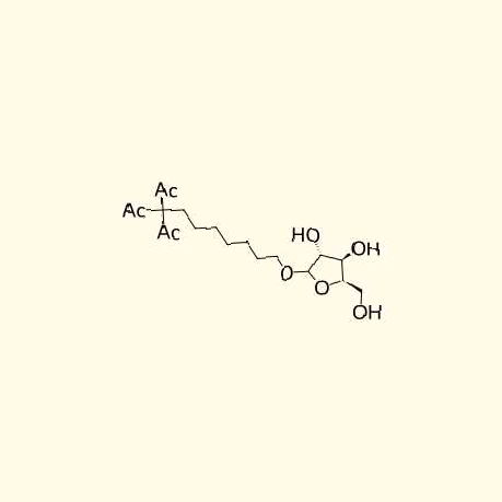 CC(=O)C(CCCCCCCOC1O[C@H](CO)[C@H](O)[C@H]1O)(C(C)=O)C(C)=O